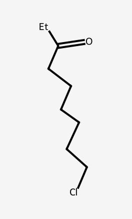 CCC(=O)CCCCCCCl